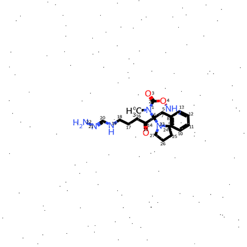 CN(C(=O)ON)C(Cc1ccccc1)(C(=O)CCCNC=NN)N1CCCC1